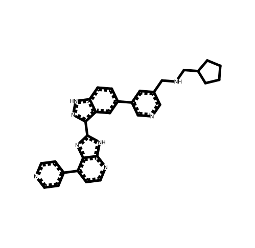 c1cc(-c2ccnc3[nH]c(-c4n[nH]c5ccc(-c6cncc(CNCC7CCCC7)c6)cc45)nc23)ccn1